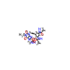 Cn1c(=O)c2c(nc3n2CCNS3(=O)=O)n(CC#Cc2cc(NC(=O)C3CC3)cc(NC(=O)C3CC3)c2)c1=O